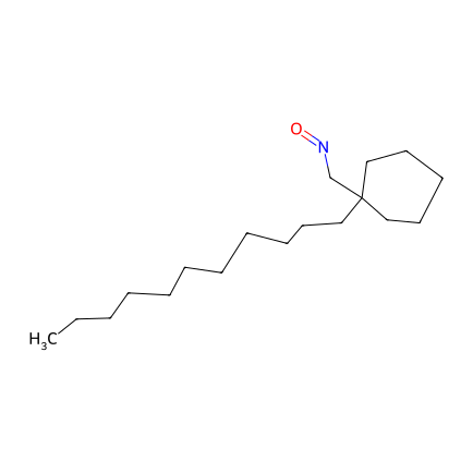 CCCCCCCCCCCC1(CN=O)CCCCC1